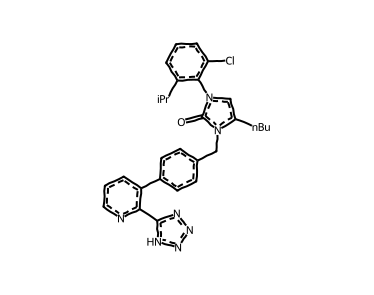 CCCCc1cn(-c2c(Cl)cccc2C(C)C)c(=O)n1Cc1ccc(-c2cccnc2-c2nnn[nH]2)cc1